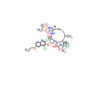 CCOc1ccc2nc(Cl)c(O[C@@H]3C[C@H]4C(=O)N[C@]5(C(=O)NS(=O)(=O)C6(C)CC6)C[C@H]5C=CCC[C@@H](C)C[C@@H](C)[C@H](N(C(=O)O)C(C)(C)C(F)(F)F)C(=O)N4C3)c(Cl)c2c1